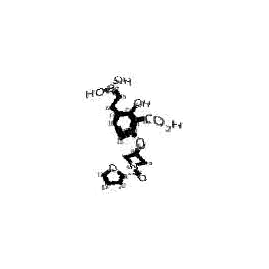 O=C(O)c1c(OC2CN(C(=O)[C@@H]3CCCO3)C2)ccc(CCB(O)O)c1O